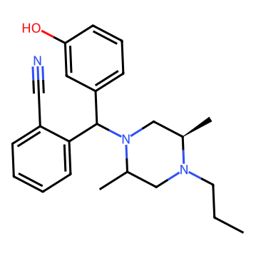 CCCN1CC(C)N(C(c2cccc(O)c2)c2ccccc2C#N)C[C@H]1C